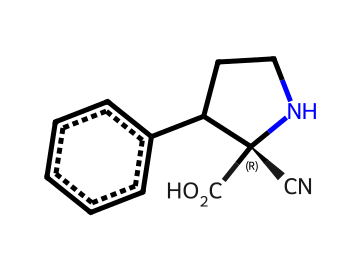 N#C[C@]1(C(=O)O)NCCC1c1ccccc1